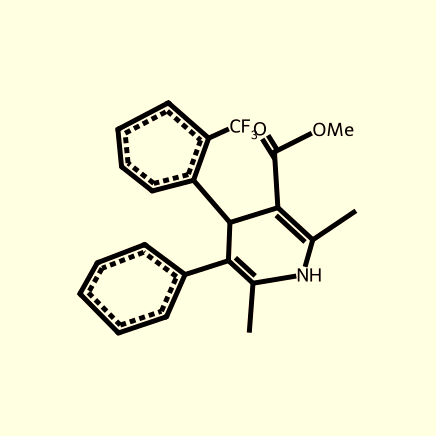 COC(=O)C1=C(C)NC(C)=C(c2ccccc2)C1c1ccccc1C(F)(F)F